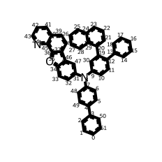 c1ccc(-c2ccc(N(c3ccc(-c4ccccc4)c(-c4cccc5ccccc45)c3)c3ccc4oc5c(ccc6cccnc65)c4c3)cc2)cc1